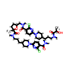 CN(C)C(=O)c1ccc(N2CCC(CCCN(C)C(=O)C3(C(F)(F)F)CCC(CN(C)C(=O)c4ccc(N5CCC(CCCN(C)C(=O)C(O)C(F)(F)F)CC5)nc4Cl)O3)CC2)nc1Cl